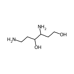 NCCC(O)C(N)CCO